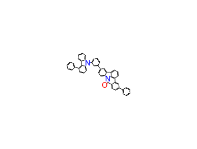 O=c1c2ccc(-c3ccccc3)cc2c2cccc3c4cc(-c5cccc(-n6c7ccccc7c7c(-c8ccccc8)cccc76)c5)ccc4n1c23